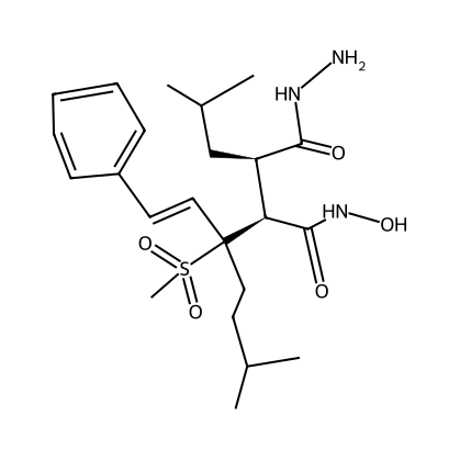 CC(C)CCC(/C=C/c1ccccc1)([C@H](C(=O)NO)[C@@H](CC(C)C)C(=O)NN)S(C)(=O)=O